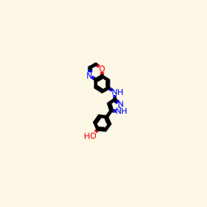 Oc1ccc(-c2cc(Nc3ccc4c(c3)OCC=N4)n[nH]2)cc1